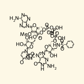 CO[C@@H]1[C@H](P(=O)([O-])OC[C@H]2O[C@@H](n3ccc(=O)[nH]c3=O)[C@H](O)[C@@H]2O)[C@@H](COP(=O)(O)OP(=O)(O)OP(=O)(O)OC[C@H]2O[C@@H](n3c[n+](C)c4c(=O)[nH]c(N)nc43)[C@H](O)[C@@H]2CNS(=O)(=O)c2ccccc2)O[C@H]1n1cnc2c(N)ncnc21